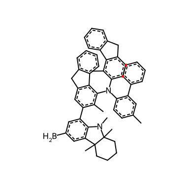 Bc1cc(-c2cc3c(c(N(c4ccc(C)cc4-c4ccccc4)c4ccc5c(c4C)-c4ccccc4C5)c2C)-c2ccccc2C3)c2c(c1)C1(C)CCCCC1(C)N2C